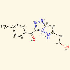 Cc1ccc(C(=O)c2nnc3cc(CCO)[nH]n23)cc1